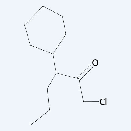 CCCC(C(=O)CCl)C1CCCCC1